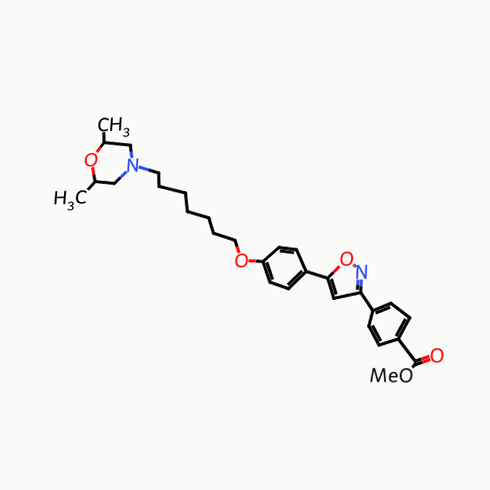 COC(=O)c1ccc(-c2cc(-c3ccc(OCCCCCCCN4CC(C)OC(C)C4)cc3)on2)cc1